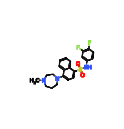 CN1CCCN(c2ccc(S(=O)(=O)Nc3ccc(F)c(F)c3)c3ccccc23)CC1